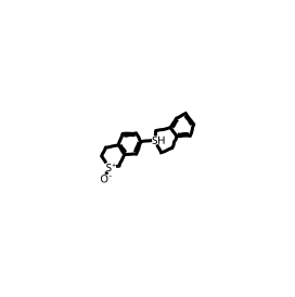 [O-][S+]1CCc2ccc([SH]3CCc4ccccc4C3)cc2C1